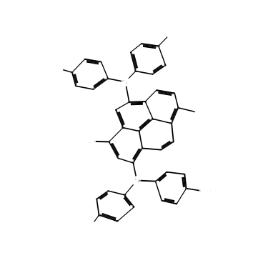 Cc1ccc(N(c2ccc(C)cc2)c2cc3c(C(C)(C)C)cc(N(c4ccc(C)cc4)c4ccc(C)cc4)c4ccc5c(C(C)(C)C)ccc2c5c43)cc1